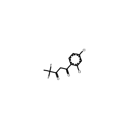 CC(F)(F)C(=O)CC(=O)c1ccc(Cl)cc1Cl